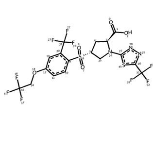 O=C(O)[C@@H]1C[C@@H](S(=O)(=O)c2ccc(OCC(F)(F)F)cc2C(F)(F)F)CN1c1nnc(C(F)(F)F)s1